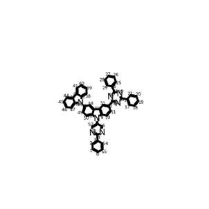 c1ccc(-c2ncc(-n3c4ccc(-c5nc(-c6ccccc6)nc(-c6ccccc6)n5)cc4c4cc(-n5c6ccccc6c6ccccc65)ccc43)cn2)cc1